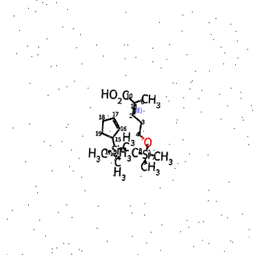 C/C(=C\CCO[Si](C)(C)C)C(=O)O.C[Si](C)(C)C1C=CCC1